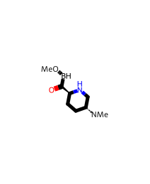 CN[C@@H]1CC[C@@H](C(=O)BOC)NC1